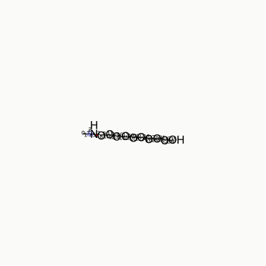 CC/C(C)=C/NCCOCCOCCOCCOCCOCCOCCOCCOCCOCCO